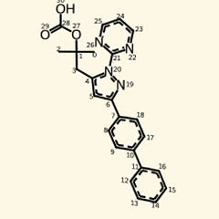 CC(C)(Cc1cc(-c2ccc(-c3ccccc3)cc2)nn1-c1ncccn1)OC(=O)O